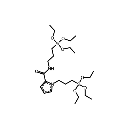 CCO[Si](CCCNC(=O)c1cccn1CCC[Si](OCC)(OCC)OCC)(OCC)OCC